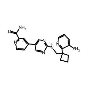 NC(=O)c1cc(-c2cnc(NCC3(c4ncccc4P)CCC3)nc2)ccn1